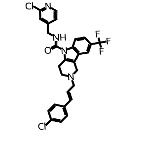 O=C(NCc1ccnc(Cl)c1)n1c2c(c3cc(C(F)(F)F)ccc31)CN(CC=Cc1ccc(Cl)cc1)CC2